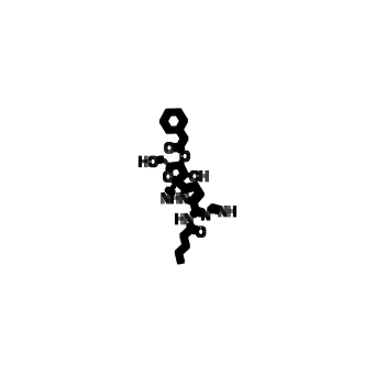 CCCCC(=O)N/C(=N/C=N)c1ccc([C@]2(C#N)O[C@H](CO)[C@@H](OC(=O)CC3CCCCC3)[C@H]2O)[nH]1